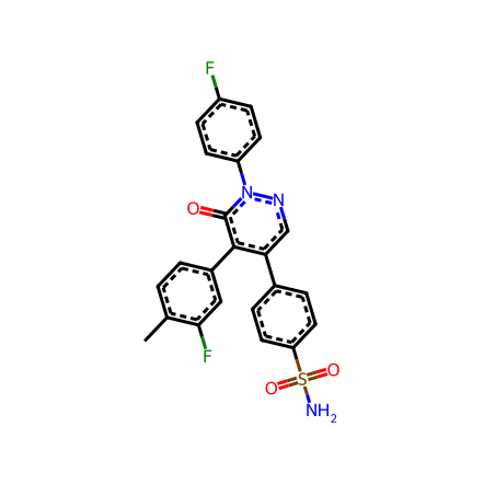 Cc1ccc(-c2c(-c3ccc(S(N)(=O)=O)cc3)cnn(-c3ccc(F)cc3)c2=O)cc1F